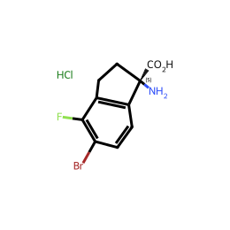 Cl.N[C@@]1(C(=O)O)CCc2c1ccc(Br)c2F